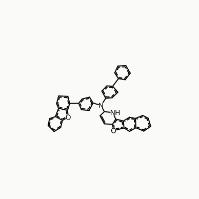 C1=CC(N(c2ccc(-c3ccccc3)cc2)c2ccc(-c3cccc4c3oc3ccccc34)cc2)Nc2c1oc1cc3ccccc3cc21